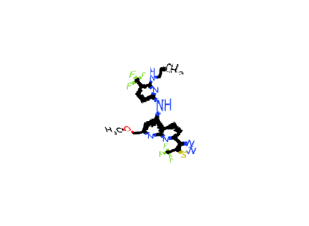 CCCNc1nc(Nc2cc(COC)nc3nc(-c4nnsc4C(F)(F)F)ccc23)ccc1C(F)(F)F